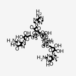 COC1C(OP(O)(=S)OCC2OC(n3cnc4c(=O)[nH]c(N)nc43)C(O)C2O)C(COP(=O)(O)OP(=S)(S)OP(=O)(O)OCC2OC(n3c[n+](C)c4c(=O)[nH]c(N)nc43)C(O)C2O)OC1n1cnc2c(N)ncnc21